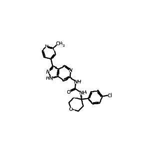 Cc1cc(-c2n[nH]c3cc(NC(=O)NC4(c5ccc(Cl)cc5)CCOCC4)ncc23)ccn1